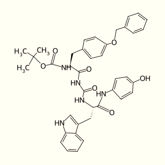 CC(C)(C)OC(=O)N[C@@H](Cc1ccc(OCc2ccccc2)cc1)C(=O)NC(=O)N[C@@H](Cc1c[nH]c2ccccc12)C(=O)Nc1ccc(O)cc1